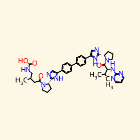 CC(CNC(=O)O)CC(=O)N1CCC[C@H]1c1ncc(-c2ccc(-c3ccc(-c4cnc([C@@H]5CCCN5C(=O)[C@@H](Nc5ncccn5)C(C)C)[nH]4)cc3)cc2)[nH]1